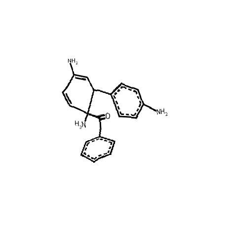 NC1=CC(c2ccc(N)cc2)C(N)(C(=O)c2ccccc2)C=C1